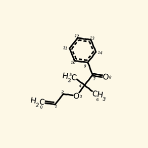 C=CCOC(C)(C)C(=O)c1ccccc1